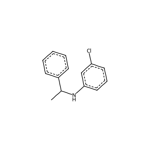 CC(Nc1cccc(Cl)c1)c1ccccc1